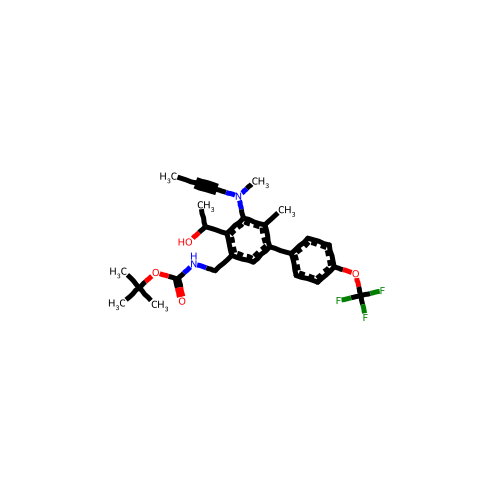 CC#CN(C)c1c(C)c(-c2ccc(OC(F)(F)F)cc2)cc(CNC(=O)OC(C)(C)C)c1C(C)O